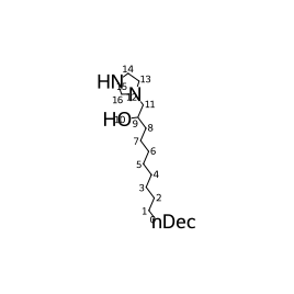 CCCCCCCCCCCCCCCCCCC(O)CN1CCNC1